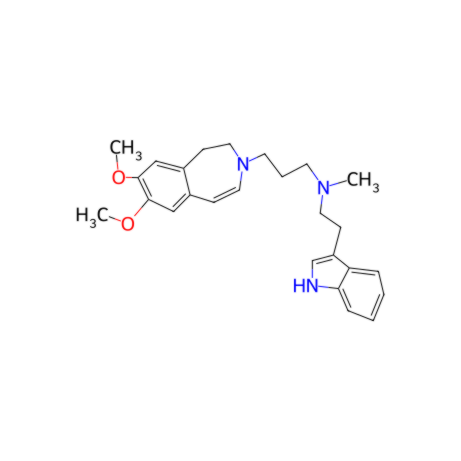 COc1cc2c(cc1OC)CCN(CCCN(C)CCc1c[nH]c3ccccc13)C=C2